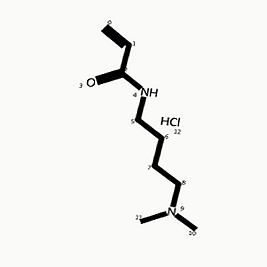 C=CC(=O)NCCCCN(C)C.Cl